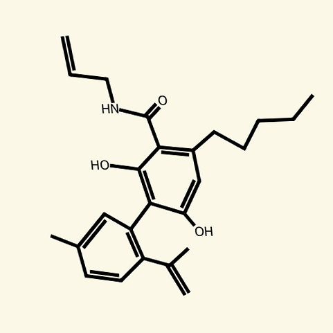 C=CCNC(=O)c1c(CCCCC)cc(O)c(-c2cc(C)ccc2C(=C)C)c1O